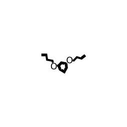 C=CCCOc1cccc(OCCC=C)c1